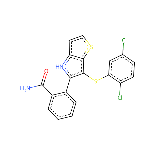 NC(=O)c1ccccc1-c1[nH]c2ccsc2c1Sc1cc(Cl)ccc1Cl